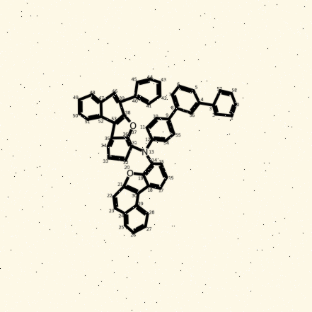 c1ccc(-c2cccc(-c3ccc(N(c4cccc5c4oc4ccc6ccccc6c45)c4cccc5c4oc4c(-c6ccccc6)cc6ccccc6c45)cc3)c2)cc1